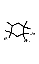 BC1(C(C)(C)C)CC(C)(C(C)(C)C)C(C)CC1(C)C